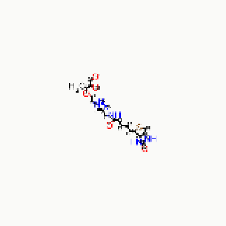 CC(OCCn1cc(CNC(=O)CCCCC2SCC3NC(=O)NC32)nn1)C(=O)C=O